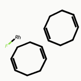 C1=CCCC=CCC1.C1=CCCC=CCC1.[F][Rh]